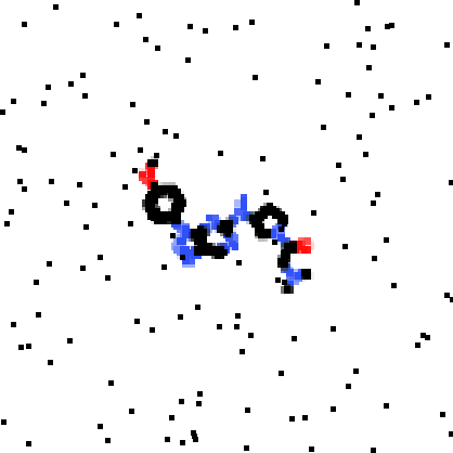 COc1ccc(-n2nnc3cnc(NC4CCN(C(=O)CN(C)C)C4)nc32)cc1